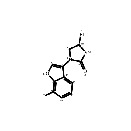 CC[C@@H]1CN(c2coc3c(F)cccc23)C(=O)S1